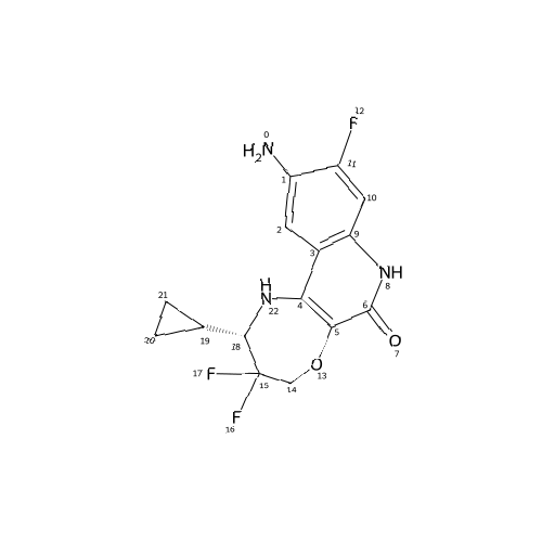 Nc1cc2c3c(c(=O)[nH]c2cc1F)OCC(F)(F)[C@H](C1CC1)N3